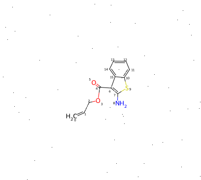 C=CCOC(=O)c1c(N)sc2ccccc12